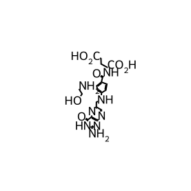 NCCO.Nc1nc2ncc(CNc3ccc(C(=O)NC(CCC(=O)O)C(=O)O)cc3)nc2c(=O)[nH]1